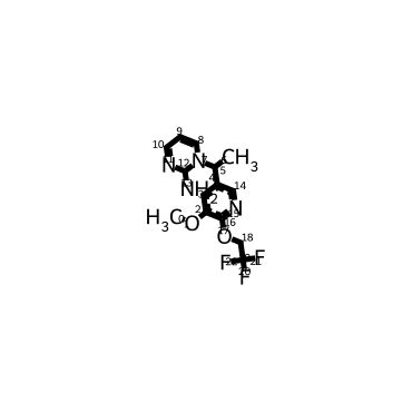 COc1cc(C(C)N2C=CC=NC2N)cnc1OCC(F)(F)F